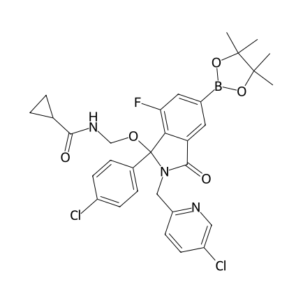 CC1(C)OB(c2cc(F)c3c(c2)C(=O)N(Cc2ccc(Cl)cn2)C3(OCNC(=O)C2CC2)c2ccc(Cl)cc2)OC1(C)C